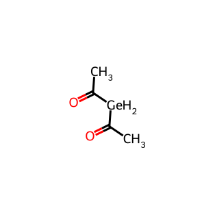 C[C](=O)[GeH2][C](C)=O